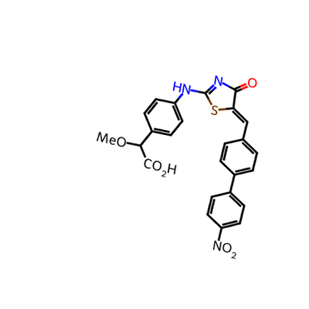 COC(C(=O)O)c1ccc(NC2=NC(=O)C(=Cc3ccc(-c4ccc([N+](=O)[O-])cc4)cc3)S2)cc1